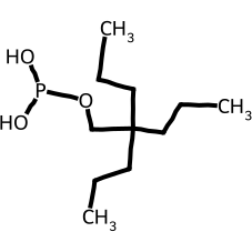 CCCC(CCC)(CCC)COP(O)O